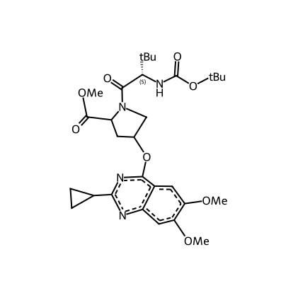 COC(=O)C1CC(Oc2nc(C3CC3)nc3cc(OC)c(OC)cc23)CN1C(=O)[C@@H](NC(=O)OC(C)(C)C)C(C)(C)C